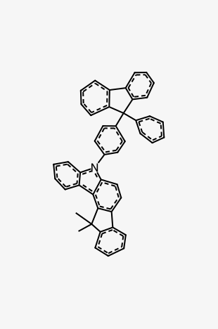 CC1(C)c2ccccc2-c2ccc3c(c21)c1ccccc1n3-c1ccc(C2(c3ccccc3)c3ccccc3-c3ccccc32)cc1